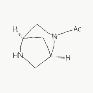 CC(=O)N1C[C@H]2C[C@@H]1CN2